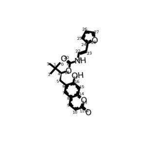 CC(C)(C)[C@H](Cc1cc2ccc(=O)oc2cc1O)OC(=O)N/C=C/c1ccco1